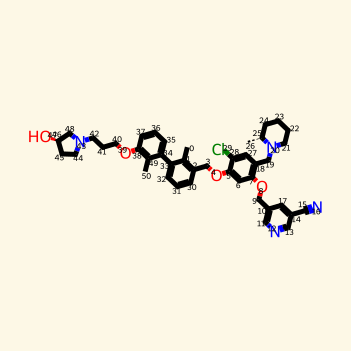 Cc1c(COc2cc(OCc3cncc(C#N)c3)c(CN3CCCC[C@H]3C)cc2Cl)cccc1-c1cccc(OCCCN2CC[C@@H](O)C2)c1C